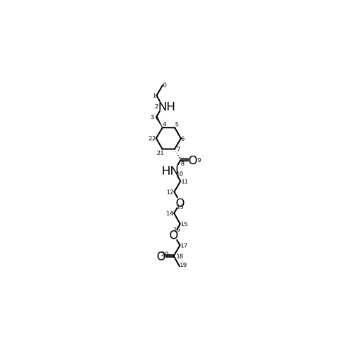 CCNC[C@H]1CC[C@H](C(=O)NCCOCCOCC(C)=O)CC1